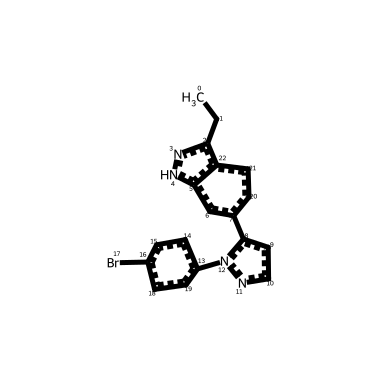 CCc1n[nH]c2cc(-c3ccnn3-c3ccc(Br)cc3)ccc12